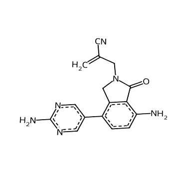 C=C(C#N)CN1Cc2c(-c3cnc(N)nc3)ccc(N)c2C1=O